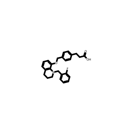 O=C(O)CCc1ccc(COc2cccc3c2N(Cc2ccccc2F)CCC3)cc1